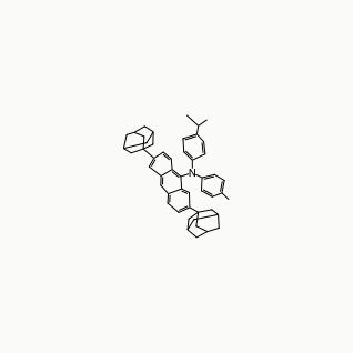 Cc1ccc(N(c2ccc(C(C)C)cc2)c2c3ccc(C45CC6CC(CC(C6)C4)C5)cc3cc3ccc(C45CC6CC(CC(C6)C4)C5)cc23)cc1